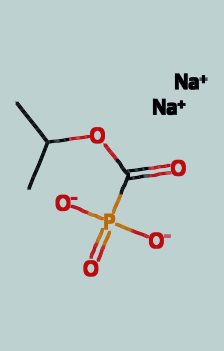 CC(C)OC(=O)P(=O)([O-])[O-].[Na+].[Na+]